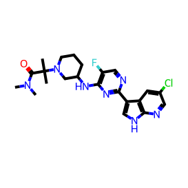 CN(C)C(=O)C(C)(C)N1CCCC(Nc2nc(-c3c[nH]c4ncc(Cl)cc34)ncc2F)C1